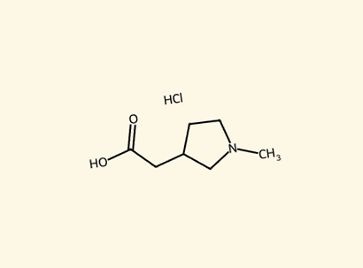 CN1CCC(CC(=O)O)C1.Cl